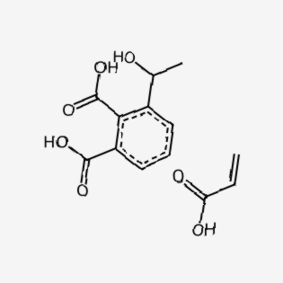 C=CC(=O)O.CC(O)c1cccc(C(=O)O)c1C(=O)O